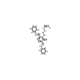 NCCCCC(NC(=O)OCc1ccccc1)C(=O)OCc1ccccc1